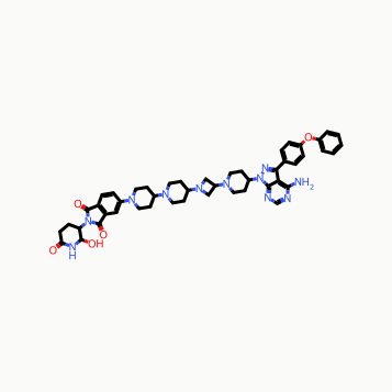 Nc1ncnc2c1c(-c1ccc(Oc3ccccc3)cc1)nn2C1CCN(C2CN(C3CCN(C4CCN(c5ccc6c(c5)C(=O)N(C5CCC(=O)NC5O)C6=O)CC4)CC3)C2)CC1